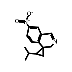 CC(C)C1CC12CN=Cc1cc([N+](=O)[O-])ccc12